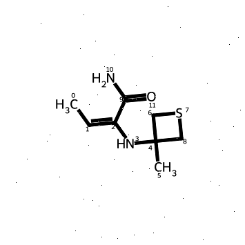 CC=C(NC1(C)CSC1)C(N)=O